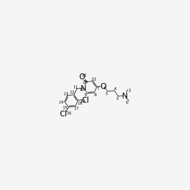 CN(C)CCCOc1ccn(Cc2ccc(Cl)cc2Cl)c(=O)c1